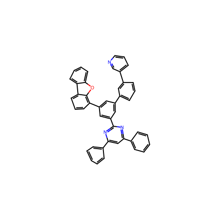 c1ccc(-c2cc(-c3ccccc3)nc(-c3cc(-c4cccc(-c5cccnc5)c4)cc(-c4cccc5c4oc4ccccc45)c3)n2)cc1